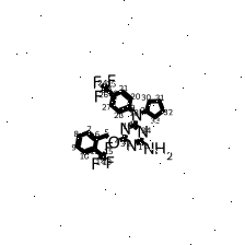 Nc1nc(OCc2ccccc2C(F)(F)F)nc(N(c2ccc(C(F)(F)F)cc2)C2CCCC2)n1